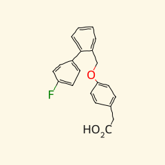 O=C(O)Cc1ccc(OCc2ccccc2-c2ccc(F)cc2)cc1